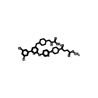 COC(=O)CCC(=O)N1CCN(c2ccc(Oc3cc(CN4CCC(CNC(C)=O)CC4)cc(-c4cc(Cl)cc(Cl)c4)n3)cn2)CC1